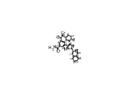 CCN(C(=O)c1cc(C(N)=O)cc(-c2cnc(-c3cc4ccccc4cn3)[nH]2)c1)c1ccc(F)cc1